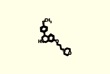 CSc1ccc(C2CNCc3cc(OCCCN4CCOCC4)ccc32)cc1